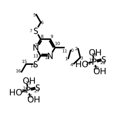 CC.CCC.CCSc1cc(C)nc(SCC)n1.OP(O)(O)=S.OP(O)(O)=S